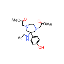 COC(=O)CN1CCN(CC(=O)OC)CC(NCC(C)=O)(c2ccc(O)cc2)C1